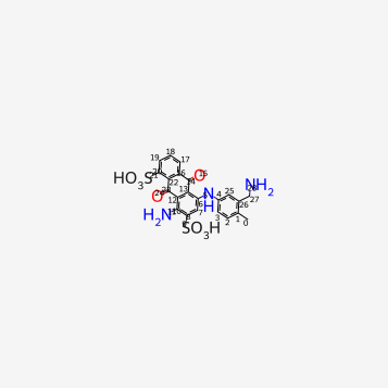 Cc1ccc(Nc2cc(S(=O)(=O)O)c(N)c3c2C(=O)c2cccc(S(=O)(=O)O)c2C3=O)cc1CN